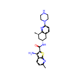 Cc1ccc2c(N)c(C(=O)N[C@H]3Cc4ccc(N5CCNCC5)nc4[C@H](C)C3)sc2n1